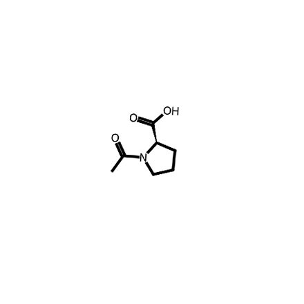 CC(=O)N1CCC[C@@H]1C(=O)O